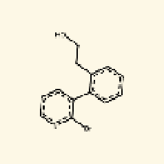 OCCc1ccccc1-c1cccnc1Br